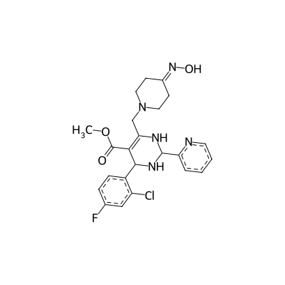 COC(=O)C1=C(CN2CCC(=NO)CC2)NC(c2ccccn2)NC1c1ccc(F)cc1Cl